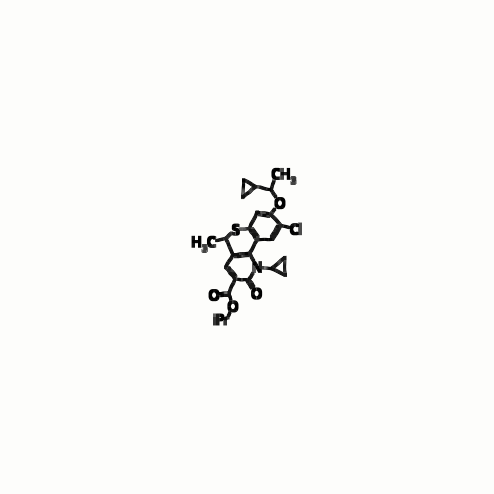 CC(C)OC(=O)c1cc2c(n(C3CC3)c1=O)-c1cc(Cl)c(OC(C)C3CC3)cc1SC2C